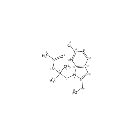 CC(=O)OC(C)(C)Cn1c(CO)cc2ccc(Cl)nc21